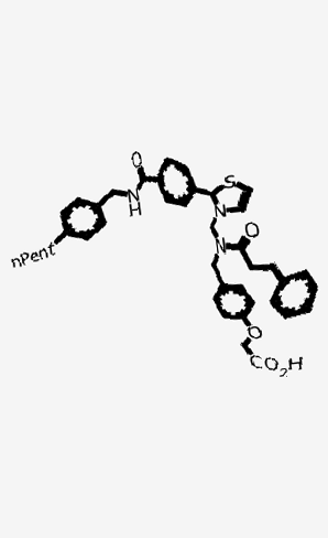 CCCCCc1ccc(CNC(=O)c2ccc(C3SC=CN3CN(Cc3ccc(OCC(=O)O)cc3)C(=O)CCc3ccccc3)cc2)cc1